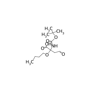 CCCCOC(CC=O)(NC(=O)OC(C)(C)C)C(=O)O